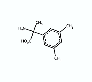 Cc1cc(C)cc(C(C)(N)C(=O)O)c1